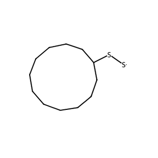 [S]SC1CCCCCCCCCCC1